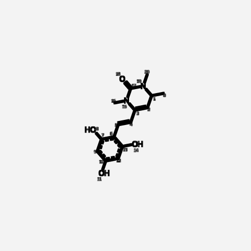 CC1C=C(C=Cc2c(O)cc(O)cc2O)N(C)C(=O)N1C